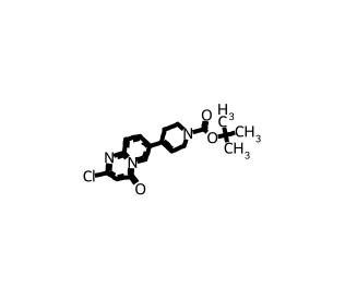 CC(C)(C)OC(=O)N1CC=C(c2ccc3nc(Cl)cc(=O)n3c2)CC1